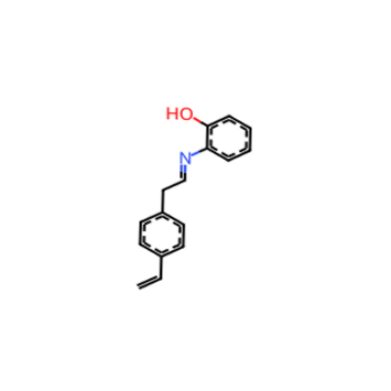 C=Cc1ccc(CC=Nc2ccccc2O)cc1